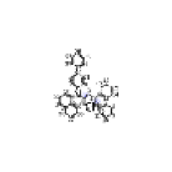 C=C/C(=C\C(=C\c1ccccc1)c1ccccc1)N(c1ccc(-c2ccccc2)cc1)c1cccc2ccccc12